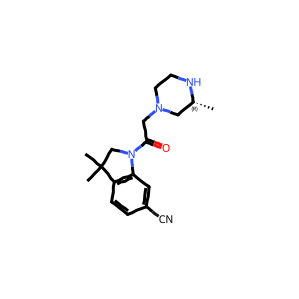 C[C@@H]1CN(CC(=O)N2CC(C)(C)c3ccc(C#N)cc32)CCN1